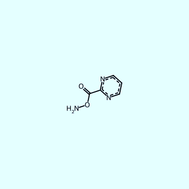 NOC(=O)c1ncccn1